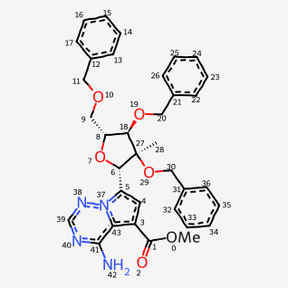 COC(=O)c1cc([C@@H]2O[C@H](COCc3ccccc3)[C@@H](OCc3ccccc3)[C@@]2(C)OCc2ccccc2)n2ncnc(N)c12